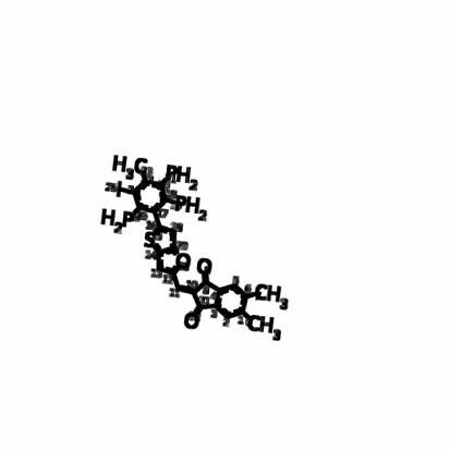 Cc1cc2c(cc1C)C(=O)C(=Cc1cc3sc(-c4c(P)c(P)c(C)c(I)c4P)cc3o1)C2=O